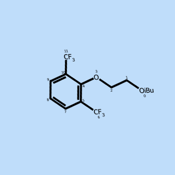 CC(C)COCCOc1c(C(F)(F)F)cccc1C(F)(F)F